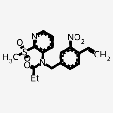 C=Cc1ccc(CN(C(=O)CC)c2cccnc2S(C)(=O)=O)cc1[N+](=O)[O-]